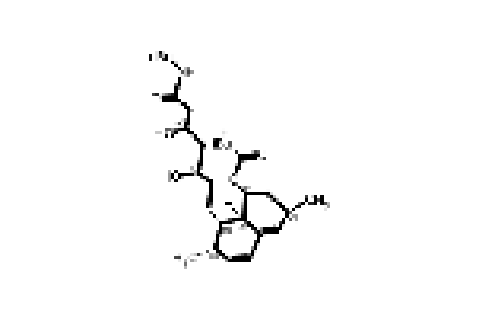 CCCCNC(=O)C[C@H](O)C[C@H](O)CC[C@@H]1[C@@H]2C(=C[C@H](C)C[C@@H]2OC(=O)[C@@H](C)CC)C=C[C@@H]1C